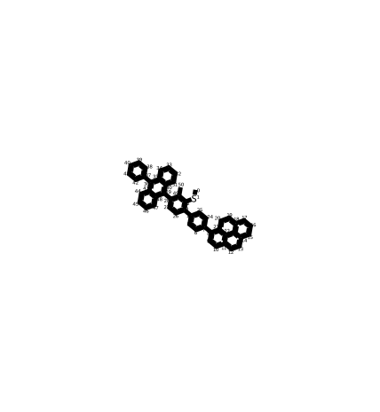 CSc1c(-c2ccc(-c3ccc4ccc5cccc6ccc3c4c56)cc2)ccc(-c2c3ccccc3c(-c3ccccc3)c3ccccc23)c1C